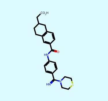 N=C(c1ccc(NC(=O)c2ccc3c(c2)CCC(CC(=O)O)C3)cc1)N1CCSCC1